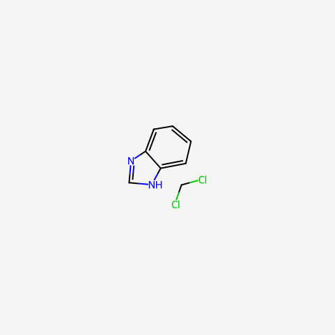 ClCCl.c1ccc2[nH]cnc2c1